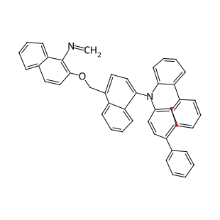 C=Nc1c(OCc2ccc(N(c3ccc(-c4ccccc4)cc3)c3ccccc3-c3ccccc3)c3ccccc23)ccc2ccccc12